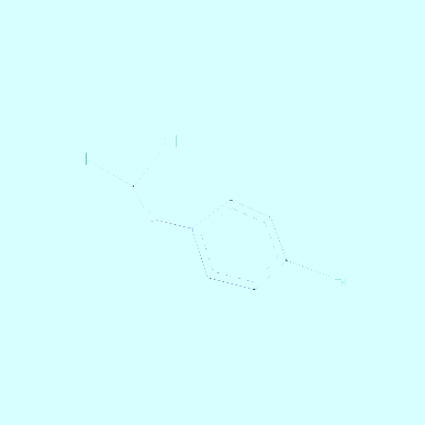 ClC(Cl)Sc1ccc(Br)cc1